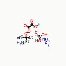 CCCC(CC)(CC)OOC(=O)C(=O)OF.N.N.N.OB(O)O